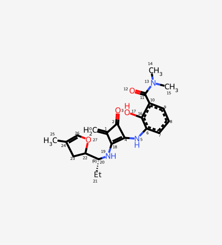 C=C1C(=O)C(Nc2cccc(C(=O)N(C)C)c2O)=C1N[C@H](CC)C1CC(C)=CO1